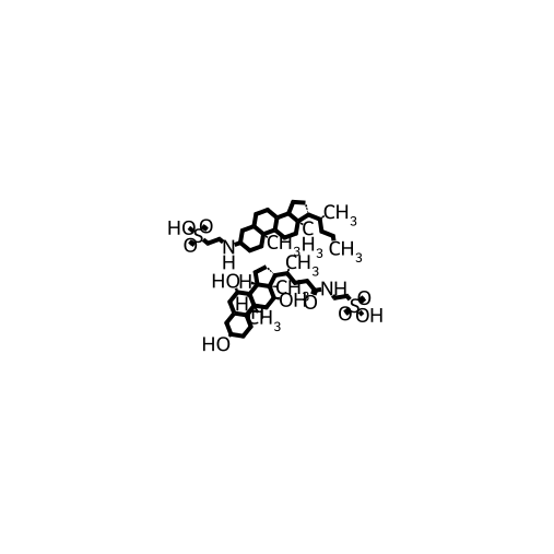 CCC[C@@H](C)[C@H]1CCC2C3CCC4CC(NCCS(=O)(=O)O)CC[C@]4(C)C3CC[C@@]21C.C[C@H](CCC(=O)NCCS(=O)(=O)O)[C@H]1CC[C@H]2[C@@H]3[C@H](O)CC4C[C@H](O)CC[C@]4(C)[C@H]3C[C@H](O)[C@]12C